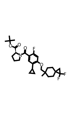 CC1(COc2cc(F)c(C(=O)N3CCC[C@H]3C(=O)OC(C)(C)C)cc2C2CC2)CCC2(CC1)CC2(F)F